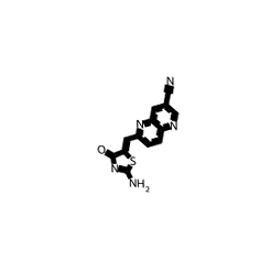 N#Cc1cnc2ccc(/C=C3\SC(N)=NC3=O)nc2c1